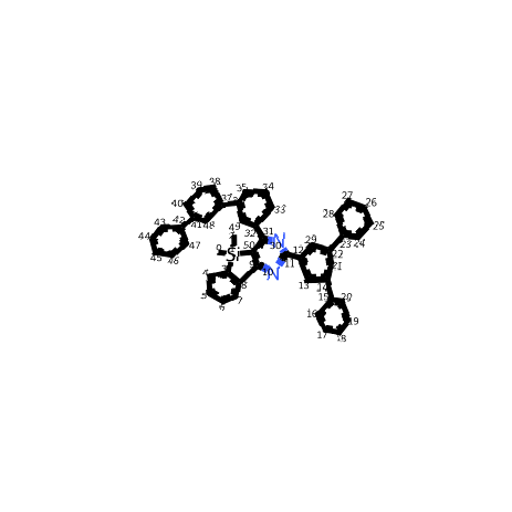 C[Si]1(C)c2ccccc2-c2nc(-c3cc(-c4ccccc4)cc(-c4ccccc4)c3)nc(-c3cccc(-c4cccc(-c5ccccc5)c4)c3)c21